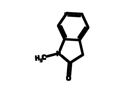 CN1C(=O)Cc2cc[c]cc21